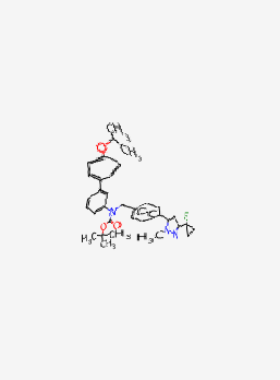 CC(C)Oc1ccc(-c2cccc(N(CC34CCC(c5cc(C6(F)CC6)nn5C)(CC3)CC4)C(=O)OC(C)(C)C)c2)cc1